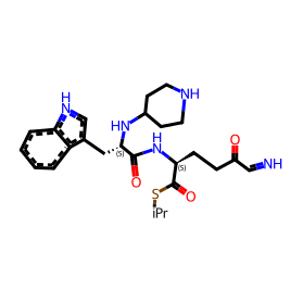 CC(C)SC(=O)[C@H](CCC(=O)C=N)NC(=O)[C@H](Cc1c[nH]c2ccccc12)NC1CCNCC1